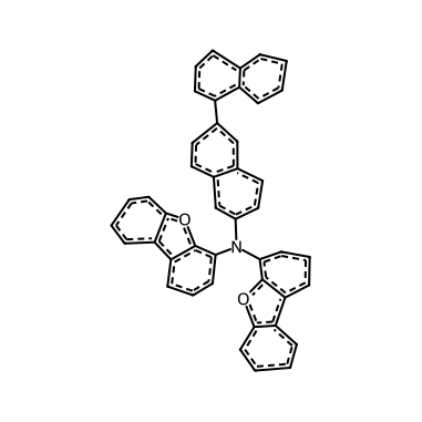 c1ccc2c(-c3ccc4cc(N(c5cccc6c5oc5ccccc56)c5cccc6c5oc5ccccc56)ccc4c3)cccc2c1